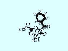 CCNC(=O)ON(C(=O)NCC)C(=O)c1ccccc1